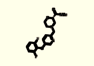 CNC(=O)[C@@H]1CN(Cc2ccc(Oc3c(F)cccc3F)cn2)CCO1